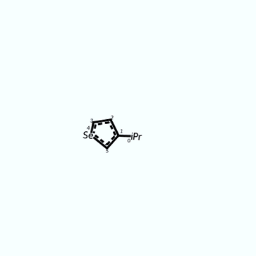 CC(C)c1cc[se]c1